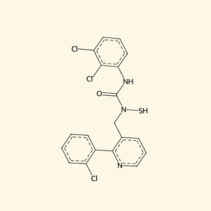 O=C(Nc1cccc(Cl)c1Cl)N(S)Cc1cccnc1-c1ccccc1Cl